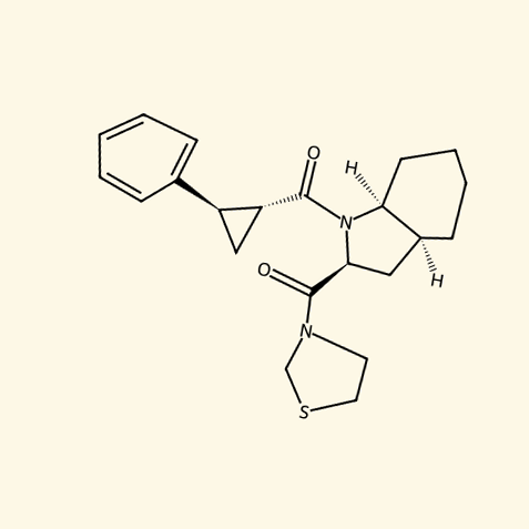 O=C([C@@H]1C[C@@H]2CCCC[C@@H]2N1C(=O)[C@@H]1C[C@H]1c1ccccc1)N1CCSC1